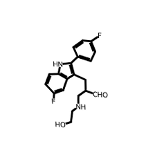 O=CC(CNCCO)Cc1c(-c2ccc(F)cc2)[nH]c2ccc(F)cc12